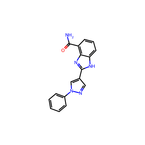 NC(=O)c1cccc2[nH]c(-c3cnn(-c4ccccc4)c3)nc12